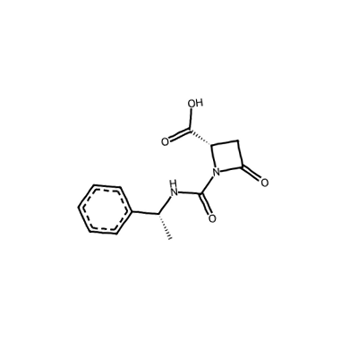 C[C@@H](NC(=O)N1C(=O)C[C@H]1C(=O)O)c1ccccc1